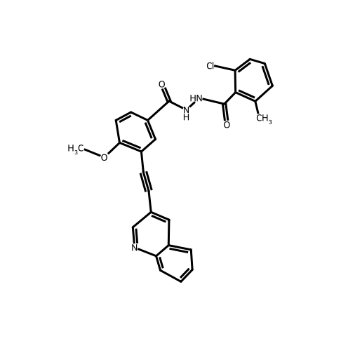 COc1ccc(C(=O)NNC(=O)c2c(C)cccc2Cl)cc1C#Cc1cnc2ccccc2c1